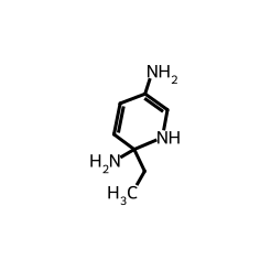 CCC1(N)C=CC(N)=CN1